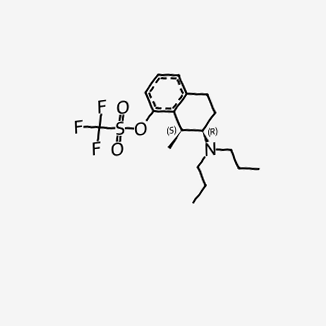 CCCN(CCC)[C@@H]1CCc2cccc(OS(=O)(=O)C(F)(F)F)c2[C@@H]1C